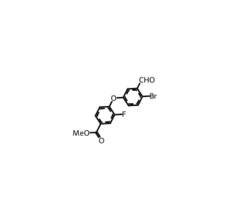 COC(=O)c1ccc(Oc2ccc(Br)c(C=O)c2)c(F)c1